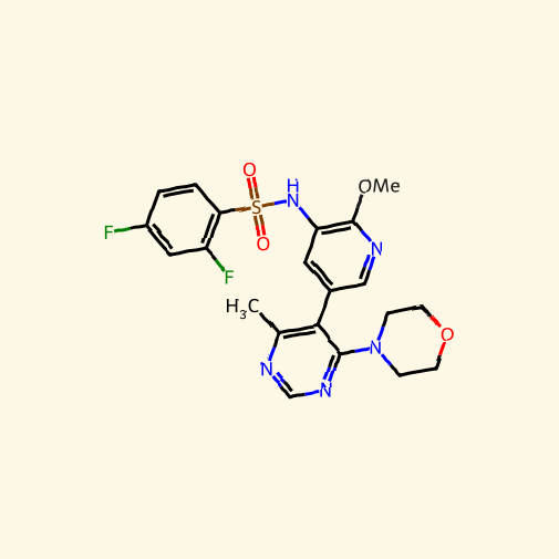 COc1ncc(-c2c(C)ncnc2N2CCOCC2)cc1NS(=O)(=O)c1ccc(F)cc1F